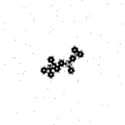 c1ccc(-c2nc(-c3ccc(-n4c5ccccc5c5ccccc54)cc3)nc(-c3cccc(-c4cccc5c4cc(-c4ccccc4)n4nc(-c6ccccc6)c(-c6ccccc6)c54)c3)n2)cc1